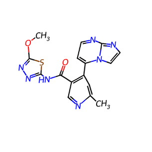 COc1nnc(NC(=O)c2cnc(C)cc2-c2ccnc3nccn23)s1